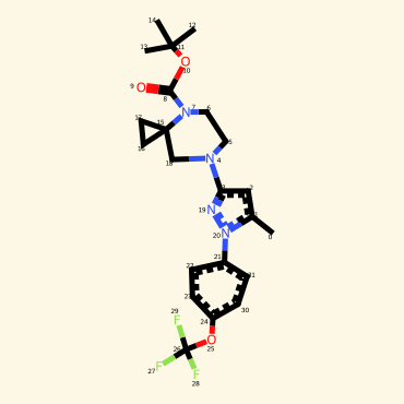 Cc1cc(N2CCN(C(=O)OC(C)(C)C)C3(CC3)C2)nn1-c1ccc(OC(F)(F)F)cc1